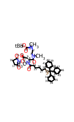 CN(CCN(C)C(=O)[C@H](CC(=O)ON1C(=O)CCC1=O)N(C)C(=O)CCCCCSC(c1ccccc1)(c1ccccc1)c1ccccc1)C(=O)OC(C)(C)C